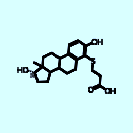 CC12CCC3c4ccc(O)c(SCCC(=O)O)c4CCC3C1CC[C@@H]2O